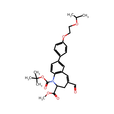 COC(=O)C1CC([C]=O)=Cc2cc(-c3ccc(OCCOC(C)C)cc3)ccc2N1C(=O)OC(C)(C)C